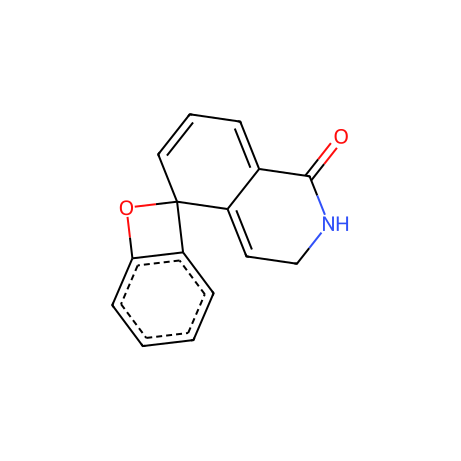 O=C1NCC=C2C1=CC=CC21Oc2ccccc21